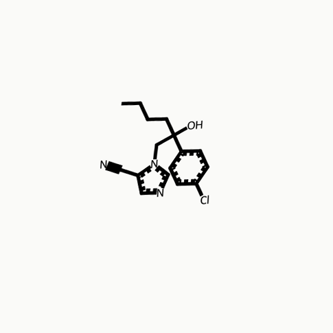 CCCCC(O)(Cn1cncc1C#N)c1ccc(Cl)cc1